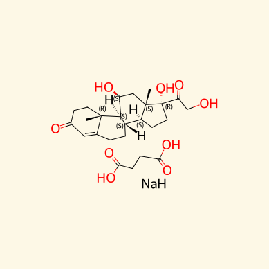 C[C@]12CCC(=O)C=C1CC[C@@H]1[C@@H]2[C@@H](O)C[C@@]2(C)[C@H]1CC[C@]2(O)C(=O)CO.O=C(O)CCC(=O)O.[NaH]